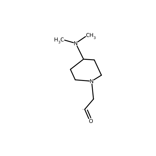 CN(C)C1CCN(C[C]=O)CC1